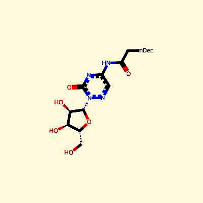 CCCCCCCCCCCC(=O)Nc1cnn([C@@H]2O[C@H](CO)[C@@H](O)[C@H]2O)c(=O)n1